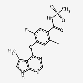 Cc1c[nH]c2ncnc(Oc3cc(F)c(C(=O)NS(C)(=O)=O)cc3F)c12